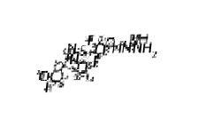 COc1cc(C(C)(C)c2cnc(SCc3c(F)cc(OCCNC(=N)N)cc3F)n2-c2ccc(C)cc2)ccc1F